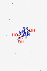 NC1C(O)[C@@H](CO)O[C@H]1n1cnc2c(O)ncnc21